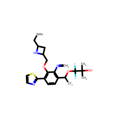 C=Nc1c(C(OC(F)(F)C(C)(C)O)C(F)(F)F)ccc(-c2nccs2)c1OCC1CC(CNC)N1